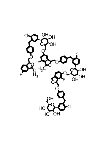 CC1OC(COc2ccc(Cc3cc([C@@H]4O[C@H](COc5cc(F)c6c(c5)C(COc5ccc(Cc7cc([C@@H]8O[C@H](COc9ccc%10c(c9F)C(COc9ccc(Cc%11cc([C@@H]%12O[C@H](CO)[C@@H](O)[C@H](O)[C@H]%12O)ccc%11Cl)cc9)OC%10)[C@@H](O)[C@H](O)[C@H]8O)ccc7Cl)cc5)OC6C)[C@@H](O)[C@H](O)[C@H]4O)ccc3Cl)cc2)c2ccc(F)cc21